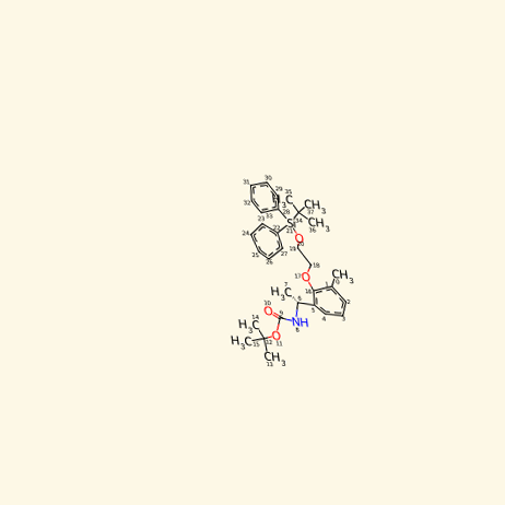 Cc1cccc([C@@H](C)NC(=O)OC(C)(C)C)c1OCCO[Si](c1ccccc1)(c1ccccc1)C(C)(C)C